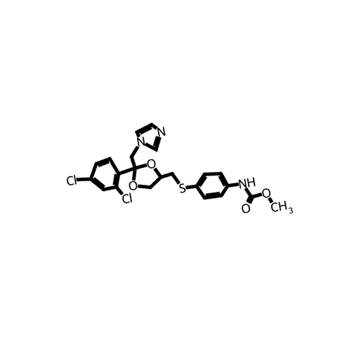 COC(=O)Nc1ccc(SCC2COC(Cn3ccnc3)(c3ccc(Cl)cc3Cl)O2)cc1